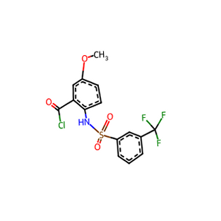 COc1ccc(NS(=O)(=O)c2cccc(C(F)(F)F)c2)c(C(=O)Cl)c1